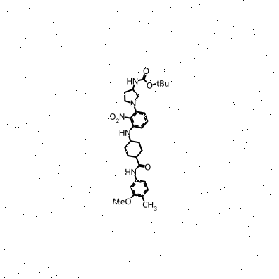 COc1cc(NC(=O)C2CCC(Nc3cccc(N4CCC(NC(=O)OC(C)(C)C)C4)c3[N+](=O)[O-])CC2)ccc1C